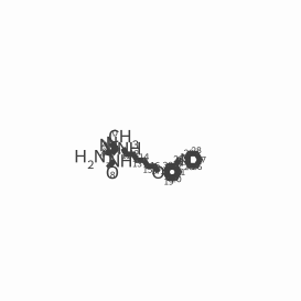 Cn1nc(N)c(NC=O)c1NCCCCCCOc1cccc(CN2CCCCC2)c1